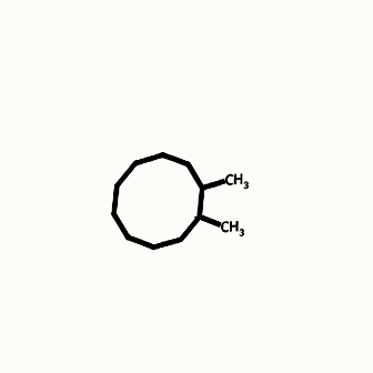 C[C]1CCCCCCCCC1C